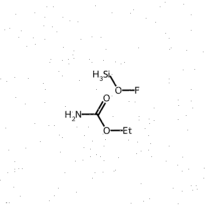 CCOC(N)=O.FO[SiH3]